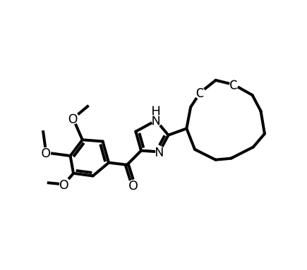 COc1cc(C(=O)c2c[nH]c(C3CCCCCCCCCCC3)n2)cc(OC)c1OC